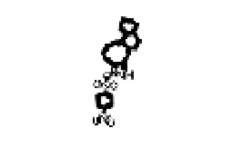 O=[N+]([O-])c1ccc(S(=O)(=O)On2[nH]cc3cc4ccc5ccccc5c4ccccc2-3)cc1